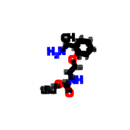 CC(N)c1ccccc1OCCNC(=O)OC(C)(C)C